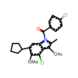 COc1c(C2CCCC2)cc2c(c1Cl)c(OC(C)=O)c(C)n2C(=O)c1ccc(Cl)cc1